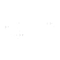 C=CCc1ccc(OC(=O)C(CC)C(=O)OCC)cc1